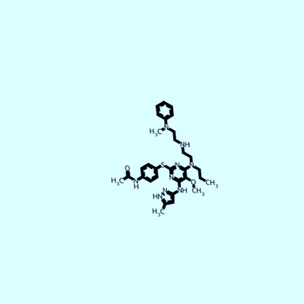 CCCN(CCNCCN(C)c1ccccc1)c1nc(Sc2ccc(NC(C)=O)cc2)nc(Nc2cc(C)[nH]n2)c1OC